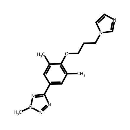 Cc1cc(-c2nnn(C)n2)cc(C)c1OCCCn1ccnc1